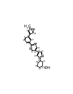 Cn1cc(-c2cccc(-c3ncc(-c4cnn(C5CCC[C@@H](O)C5)c4)cn3)c2)cn1